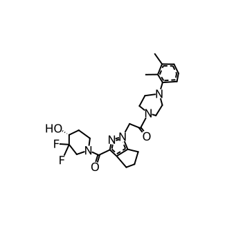 Cc1cccc(N2CCN(C(=O)Cn3nc(C(=O)N4CC[C@@H](O)C(F)(F)C4)c4c3CCC4)CC2)c1C